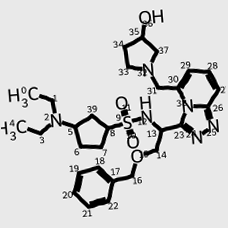 CCN(CC)C1CCC(S(=O)(=O)NC(COCc2ccccc2)c2nnc3cccc(CN4CCC(O)C4)n23)C1